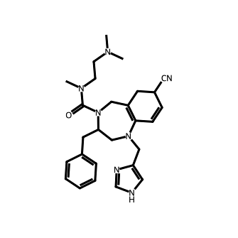 CN(C)CCN(C)C(=O)N1CC2=C(C=CC(C#N)C2)N(Cc2c[nH]cn2)CC1Cc1ccccc1